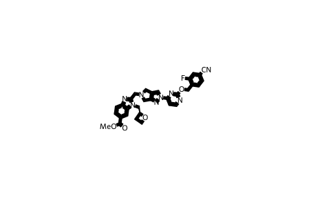 COC(=O)c1ccc2nc(CN3Cc4cn(-c5ccnc(OCc6ccc(C#N)cc6F)n5)nc4C3)n(C[C@@H]3CCO3)c2c1